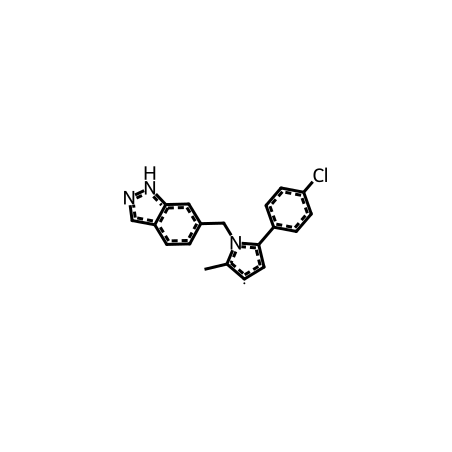 Cc1[c]cc(-c2ccc(Cl)cc2)n1Cc1ccc2cn[nH]c2c1